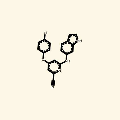 N#Cc1cc(Oc2ccc(Cl)cc2)cc(Nc2ccc3cc[nH]c3c2)n1